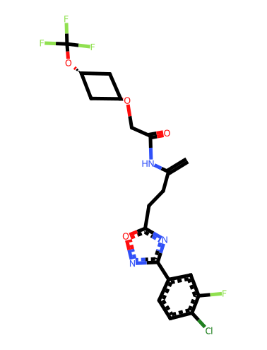 C=C(CCc1nc(-c2ccc(Cl)c(F)c2)no1)NC(=O)CO[C@H]1C[C@@H](OC(F)(F)F)C1